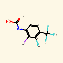 O=C(O)Nc1ccc(C(F)(F)F)c(F)c1I